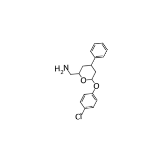 NCC1CC(c2ccccc2)CC(Oc2ccc(Cl)cc2)O1